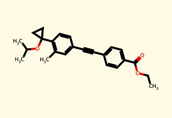 CCOC(=O)c1ccc(C#Cc2ccc(C3(OC(C)C)CC3)c(C)c2)cc1